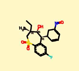 B[C@@]1(CC)CS(=O)(=O)c2ccc(F)cc2[C@@H](C2C=CC=C(N=O)C2)[C@H]1O